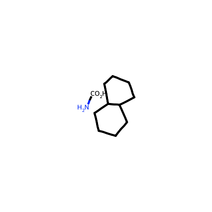 C1CCC2CCCCC2C1.NC(=O)O